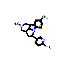 Cc1ccc2c(c1)c1c3n2C(c2ccc(C)nc2)CC3CN(C)C1